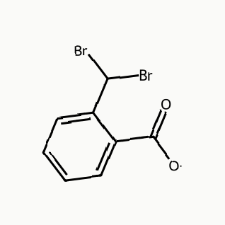 [O]C(=O)c1ccccc1C(Br)Br